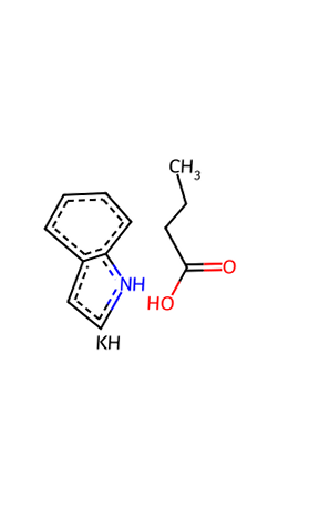 CCCC(=O)O.[KH].c1ccc2[nH]ccc2c1